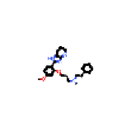 COc1ccc(-c2nc3ncccc3[nH]2)c(OCCCN(C)CCc2ccccc2)c1